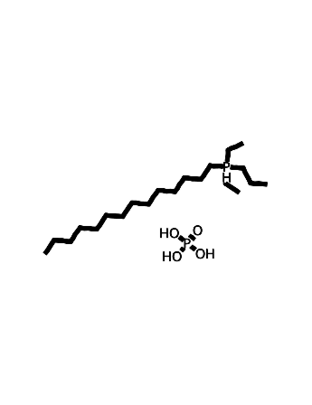 CCCCCCCCCCCCCC[PH](CC)(CC)CCC.O=P(O)(O)O